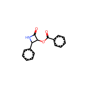 O=C(OC1C(=O)NC1c1ccccc1)c1ccccc1